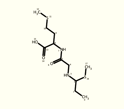 CCC(NCC(=O)NC(CCSC)C(=O)O)SC